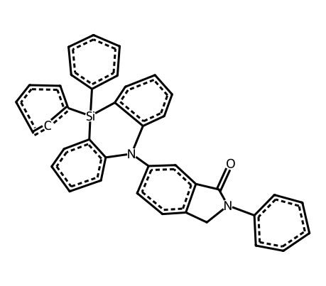 O=C1c2cc(N3c4ccccc4[Si](c4ccccc4)(c4ccccc4)c4ccccc43)ccc2CN1c1ccccc1